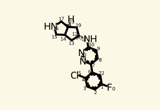 Fc1ccc(Cl)c(-c2ccc(N[C@@H]3CC4CNC[C@H]4C3)nn2)c1